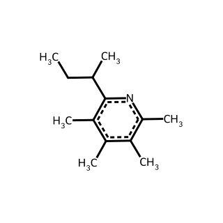 CCC(C)c1nc(C)c(C)c(C)c1C